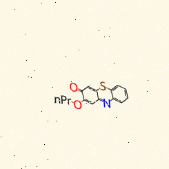 CCCOc1cc2nc3ccccc3sc-2cc1=O